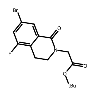 CC(C)(C)OC(=O)CN1CCc2c(F)cc(Br)cc2C1=O